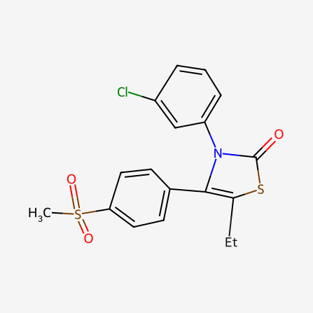 CCc1sc(=O)n(-c2cccc(Cl)c2)c1-c1ccc(S(C)(=O)=O)cc1